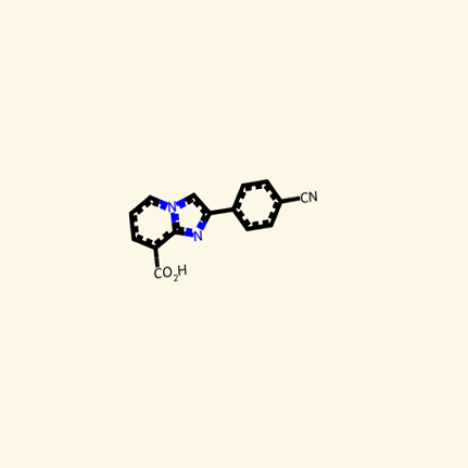 N#Cc1ccc(-c2cn3cccc(C(=O)O)c3n2)cc1